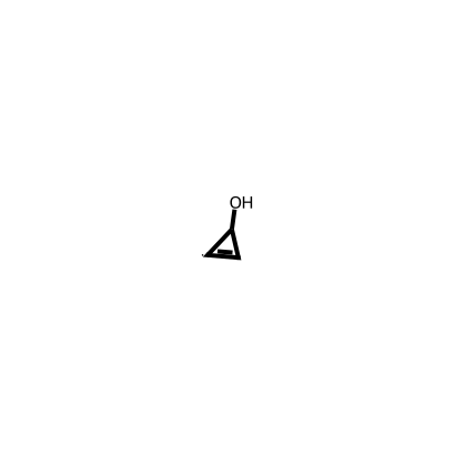 OC1[C]=C1